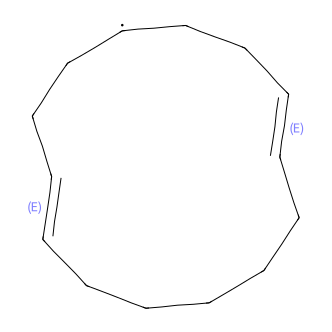 [CH]1CC/C=C/CCCCC/C=C/CC1